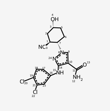 N#C[C@H]1C[C@H](O)CC[C@@H]1n1cc(C(N)=O)c(Nc2ccc(Cl)c(Cl)c2)n1